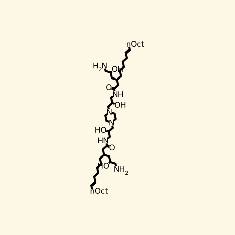 CCCCCCCCC=CCCCCCC(CC(=O)NCC(O)CN1CCN(CC(O)CNC(=O)CC(CCCCCC=CCCCCCCCC)CC(O)CN)CC1)CC(O)CN